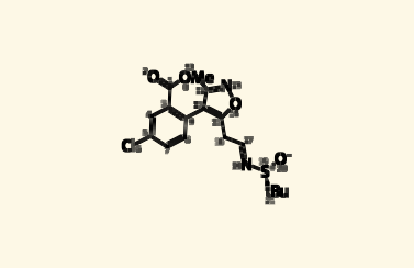 COC(=O)c1cc(Cl)ccc1-c1c(C)noc1CC=N[S@@+]([O-])C(C)(C)C